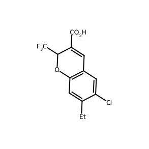 CCc1cc2c(cc1Cl)C=C(C(=O)O)C(C(F)(F)F)O2